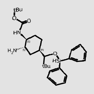 CC(C)(C)OC(=O)N[C@H]1CC[C@@H](C(O[SiH](c2ccccc2)c2ccccc2)C(C)(C)C)C[C@@H]1N